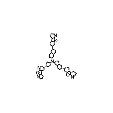 c1cnc2oc3cc(-c4ccc5cc(N(c6ccc(-c7cnc8oc9ncccc9c8c7)cc6)c6ccc7cc(-c8ccc9c(c8)oc8ncccc89)ccc7c6)ccc5c4)ccc3c2c1